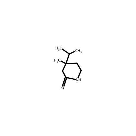 CC(C)C1(C)CCNC(=O)C1